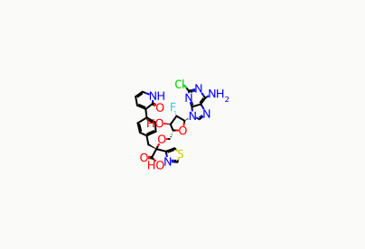 Nc1nc(Cl)nc2c1ncn2[C@@H]1O[C@H](CO[C@@](Cc2ccc(-c3ccc[nH]c3=O)cc2)(C(=O)O)c2cscn2)[C@@H](O)[C@@H]1F